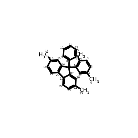 Cc1ccc(C)c(C2(c3ccccc3)c3cc(C)ccc3-c3ccc(C)cc32)c1